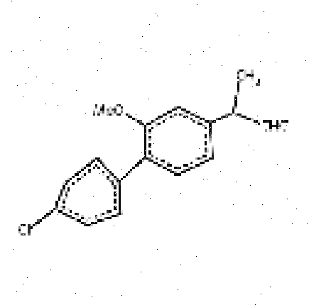 COc1cc(C(C)C=O)ccc1-c1ccc(Cl)cc1